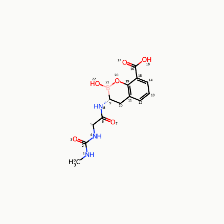 CNC(=O)NCC(=O)N[C@H]1Cc2cccc(C(=O)O)c2OB1O